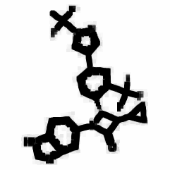 CC(F)(F)n1cc(-c2ccc([C@@H]3C(C4CC4)C(=O)N3c3ccc4[nH]cnc4c3)c(C(F)(F)I)c2)cn1